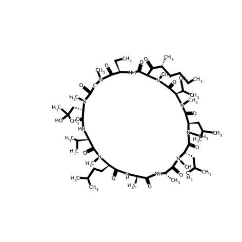 CCCC[C@@H](C)C(=O)C1C(=O)N[C@H](CC)C(=O)N(C)CC(=O)N(C)[C@@H](CC(C)(C)O)C(=O)N[C@H](C(C)C)C(=O)N(C)[C@H](CCC(C)C)C(=O)N[C@H](C)C(=O)N[C@@H](C)C(=O)N(C)[C@@H](CC(C)C)C(=O)N(C)[C@H](CC(C)C)C(=O)N(C)[C@H](C(C)C)C(=O)N1C